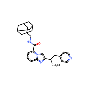 CCOC(=O)C(Cc1ccncc1)c1cn2c(C(=O)NCC34CC5CC(CC(C5)C3)C4)cccc2n1